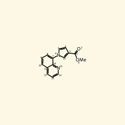 COC(=O)c1ccn(-c2cccc3cccnc23)c1